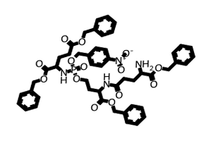 NC(CCC(=O)NC(CCOP(=O)(NC(CCC(=O)OCc1ccccc1)C(=O)OCc1ccccc1)OCc1ccc([N+](=O)[O-])cc1)C(=O)OCc1ccccc1)C(=O)OCc1ccccc1